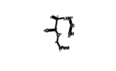 C=C(C)C(=O)OCCCCCC.N=[N+]=N